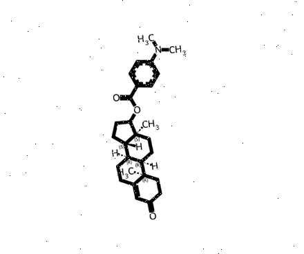 CN(C)c1ccc(C(=O)OC2CC[C@H]3[C@@H]4CCC5=CC(=O)CC[C@]5(C)[C@@H]4CC[C@]23C)cc1